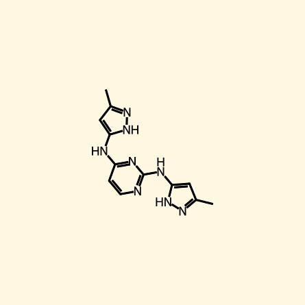 Cc1cc(Nc2ccnc(Nc3cc(C)n[nH]3)n2)[nH]n1